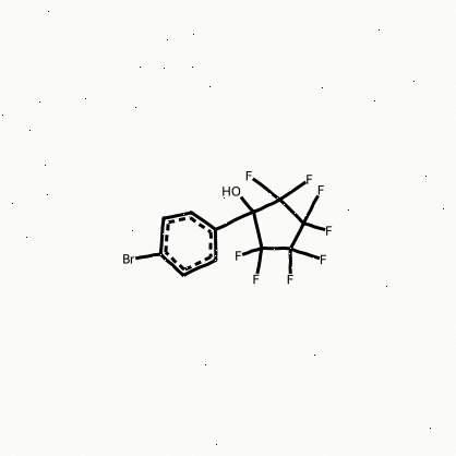 OC1(c2ccc(Br)cc2)C(F)(F)C(F)(F)C(F)(F)C1(F)F